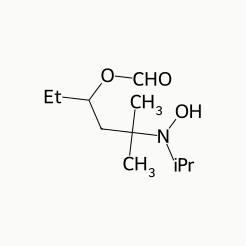 CCC(CC(C)(C)N(O)C(C)C)OC=O